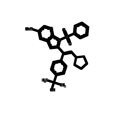 COc1cnc2c(c1)cc(/C(=C/C1CCCC1)c1ccc(C(C)(C)O)cc1)n2S(=O)(=O)c1ccccc1